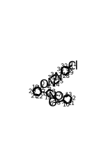 O=C([C@@H]1CN(S(=O)(=O)Cc2ccccc2)C[C@H]1c1ccccc1)N1CCN(c2ccc(Cl)cc2)CC1